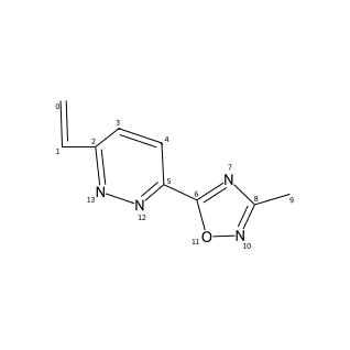 C=Cc1ccc(-c2nc(C)no2)nn1